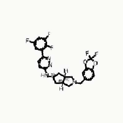 Fc1cc(F)c(F)c(-c2ccc(N[C@H]3C[C@@H]4CN(Cc5ccc6c(c5)OC(F)(F)O6)C[C@@H]4C3)nn2)c1